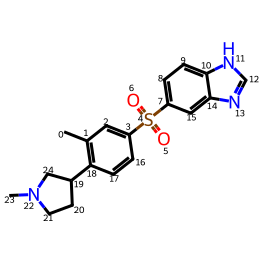 Cc1cc(S(=O)(=O)c2ccc3[nH]cnc3c2)ccc1C1CCN(C)C1